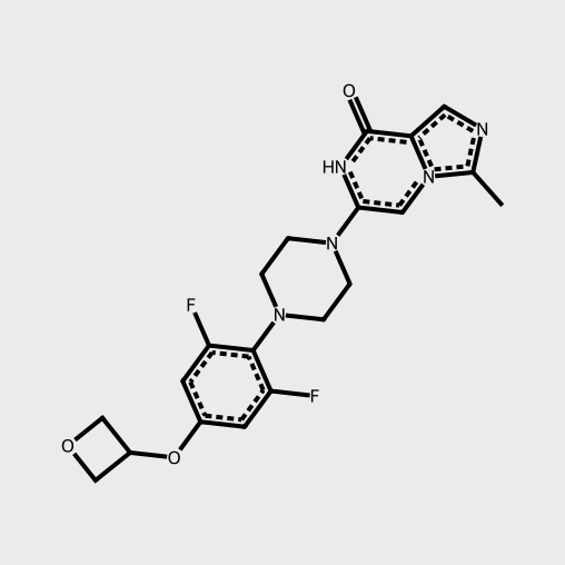 Cc1ncc2c(=O)[nH]c(N3CCN(c4c(F)cc(OC5COC5)cc4F)CC3)cn12